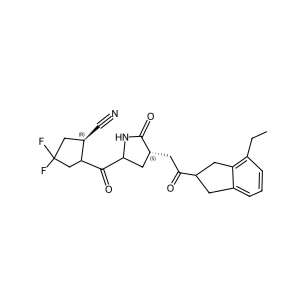 CCc1cccc2c1CC(C(=O)C[C@@H]1CC(C(=O)C3CC(F)(F)C[C@H]3C#N)NC1=O)C2